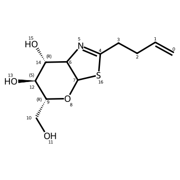 C=CCCC1=NC2C(O[C@H](CO)[C@@H](O)[C@@H]2O)S1